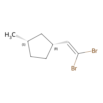 C[C@H]1CC[C@@H](C=C(Br)Br)C1